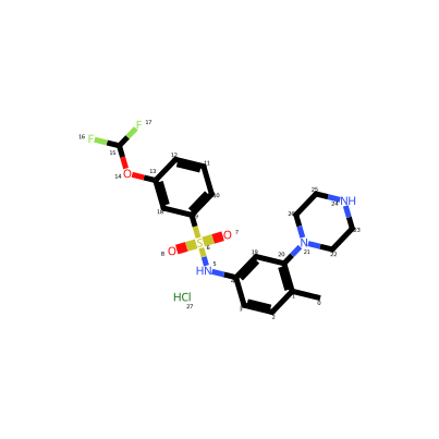 Cc1ccc(NS(=O)(=O)c2cccc(OC(F)F)c2)cc1N1CCNCC1.Cl